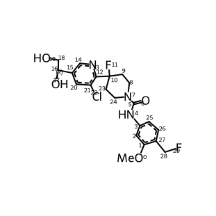 COc1cc(NC(=O)N2CCC(F)(c3ncc([C@@H](O)CO)cc3Cl)CC2)ccc1CF